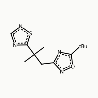 CC(C)(C)c1nc(CC(C)(C)c2ncns2)no1